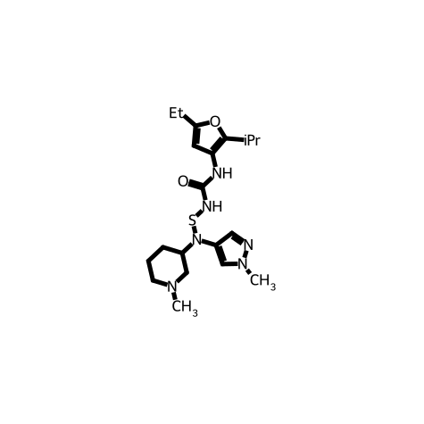 CCc1cc(NC(=O)NSN(c2cnn(C)c2)C2CCCN(C)C2)c(C(C)C)o1